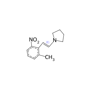 Cc1cccc([N+](=O)[O-])c1/C=C/N1CCCC1